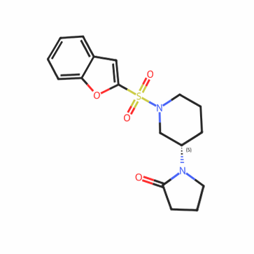 O=C1CCCN1[C@H]1CCCN(S(=O)(=O)c2cc3ccccc3o2)C1